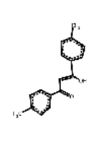 O=C(/C=C(\O)c1ccc(C(F)(F)F)cc1)c1ccc(C(F)(F)F)cc1